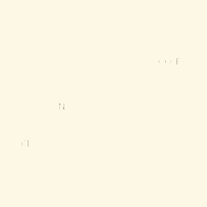 CCOC(=O)/C=C/c1ccc(CCl)nc1